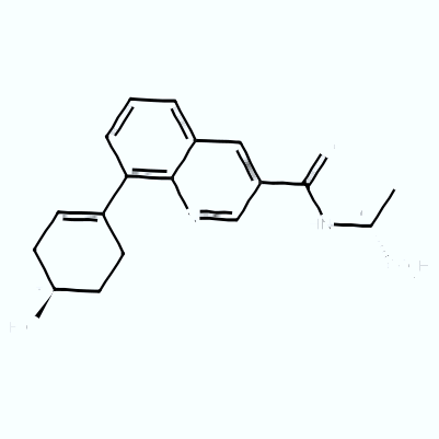 C[C@@H](NC(=O)c1cnc2c(C3=CC[C@H](C(F)(F)F)CC3)cccc2c1)C(=O)O